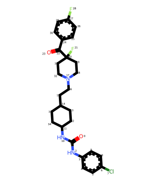 O=C(Nc1ccc(Cl)cc1)NC1CCC(CCN2CCC(F)(C(=O)c3ccc(F)cc3)CC2)CC1